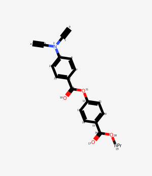 C#CN(C#C)c1ccc(C(=O)Oc2ccc(C(=O)OCCC)cc2)cc1